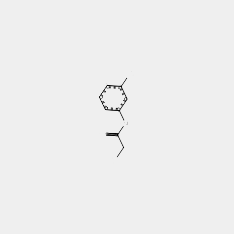 CC(=O)CC(=O)Nc1cccc(OC(C)=O)c1